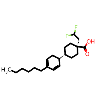 CCCCCCC1=CCC([C@H]2CC[C@](CC(F)F)(C(=O)O)CC2)C=C1